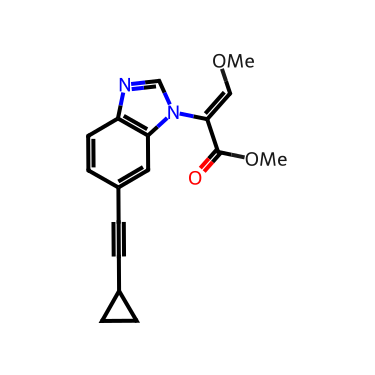 CO/C=C(/C(=O)OC)n1cnc2ccc(C#CC3CC3)cc21